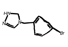 Brc1ccc(N2C=NNC2)cc1